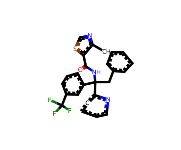 Cc1ncsc1C(=O)NC(Cc1ccccc1)(c1cccc(C(F)(F)F)c1)c1ccccn1